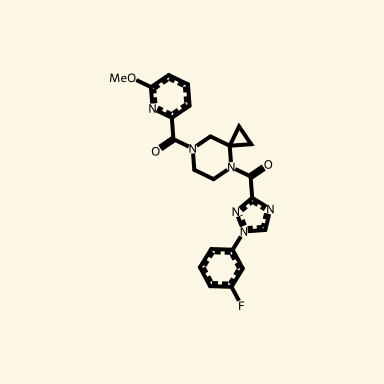 COc1cccc(C(=O)N2CCN(C(=O)c3ncn(-c4cccc(F)c4)n3)C3(CC3)C2)n1